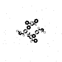 Cc1ncc(CN(C(=O)c2ccccc2)c2ccc(N3CCN(C(=O)c4ccc(Cl)s4)CC3)cc2)[nH]1.Cn1c(CN(C(=O)c2ccccc2)c2ccc(N3CCN(C(=O)c4ccc(Cl)s4)CC3)cc2)nc2ccccc21